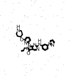 C=CCn1c(=O)c2cnc(Nc3cccc(-n4cccn4)c3)nc2n1-c1cccc(OC2CCNCC2)n1